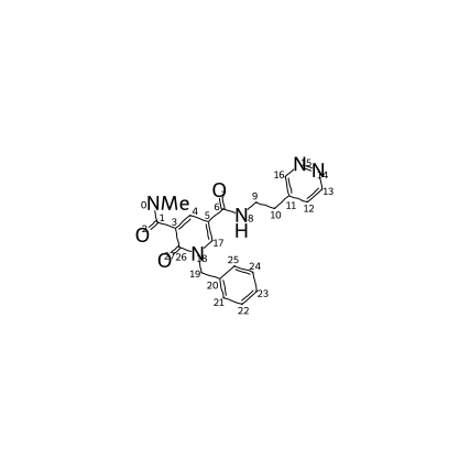 CNC(=O)c1cc(C(=O)NCCc2ccnnc2)cn(Cc2ccccc2)c1=O